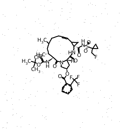 CC1CC/C=C\C2C[C@@]2(C(=O)NS(=O)(=O)C2(CF)CC2)NC(=O)[C@@H]2C[C@@H](OC(=O)c3ccccc3C(F)(F)F)CN2C(=O)[C@@H](NC(=O)OC(C)(C)C)[C@H](C)C1